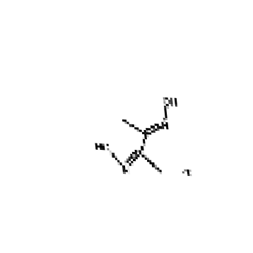 CC(=NO)C(C)=NO.[Pt]